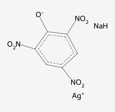 O=[N+]([O-])c1cc([N+](=O)[O-])c([O-])c([N+](=O)[O-])c1.[Ag+].[NaH]